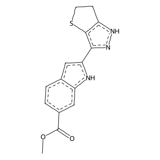 COC(=O)c1ccc2cc(-c3n[nH]c4c3SCC4)[nH]c2c1